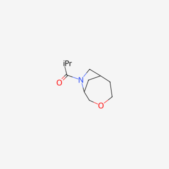 CC(C)C(=O)N1CC2CCOCC1C2